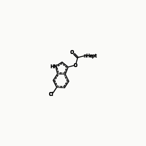 CCCCCCCC(=O)Oc1c[nH]c2cc(Cl)ccc12